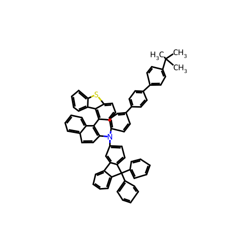 CC(C)(C)c1ccc(-c2ccc(-c3ccc(N(c4ccc5c(c4)-c4ccccc4C5(c4ccccc4)c4ccccc4)c4ccc5ccccc5c4-c4cccc5sc6ccccc6c45)cc3)cc2)cc1